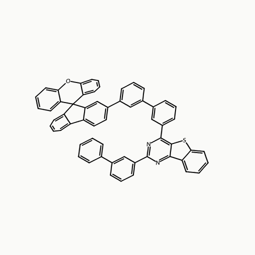 c1ccc(-c2cccc(-c3nc(-c4cccc(-c5cccc(-c6ccc7c(c6)C6(c8ccccc8Oc8ccccc86)c6ccccc6-7)c5)c4)c4sc5ccccc5c4n3)c2)cc1